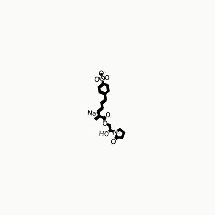 C=C(C=CC=Cc1ccc(S(=O)(=O)[O-])cc1)C(=O)OCC(O)N1CCCC1=O.[Na+]